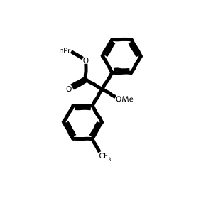 CCCOC(=O)C(OC)(c1ccccc1)c1cccc(C(F)(F)F)c1